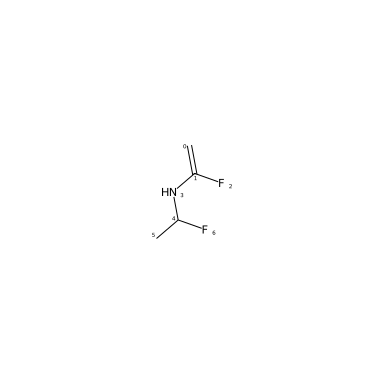 C=C(F)NC(C)F